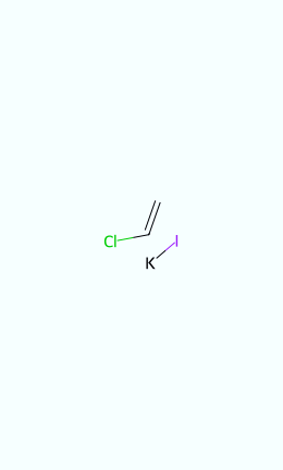 C=CCl.[K][I]